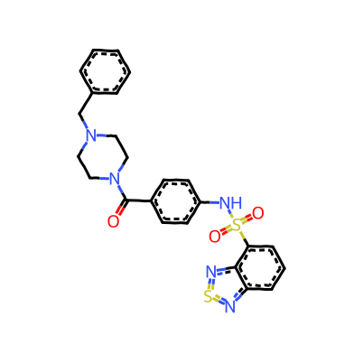 O=C(c1ccc(NS(=O)(=O)c2cccc3nsnc23)cc1)N1CCN(Cc2ccccc2)CC1